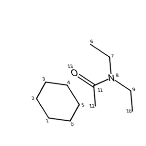 C1CCCCC1.CCN(CC)C(C)=O